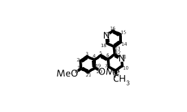 COc1ccc(C=C2CC(C)CN=C2c2cccnc2)c(OC)c1